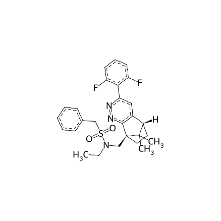 CCN(C[C@@]12CC[C@@H](c3cc(-c4c(F)cccc4F)nnc31)C2(C)C)S(=O)(=O)Cc1ccccc1